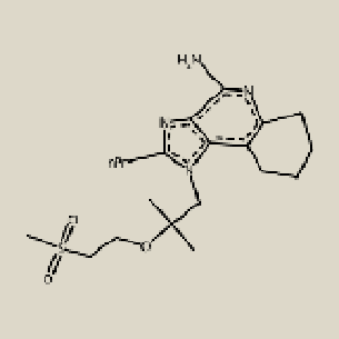 CCCc1nc2c(N)nc3c(c2n1CC(C)(C)OCCS(C)(=O)=O)CCCC3